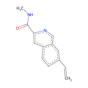 C=Cc1ccc2cc(C(=O)NC)ncc2c1